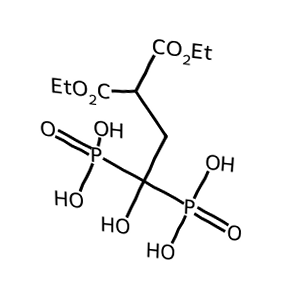 CCOC(=O)C(CC(O)(P(=O)(O)O)P(=O)(O)O)C(=O)OCC